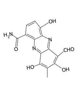 Cc1c(O)c(C=O)c2nc3c(O)ccc(C(N)=O)c3nc2c1O